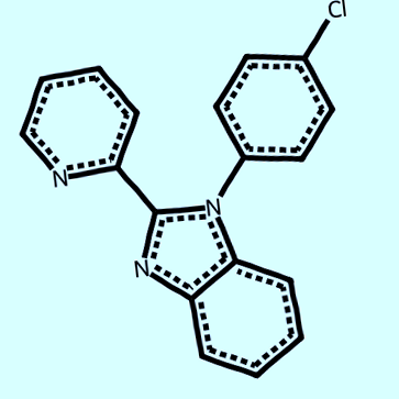 Clc1ccc(-n2c(-c3ccccn3)nc3ccccc32)cc1